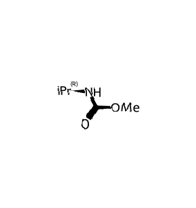 [CH2][C@H](C)NC(=O)OC